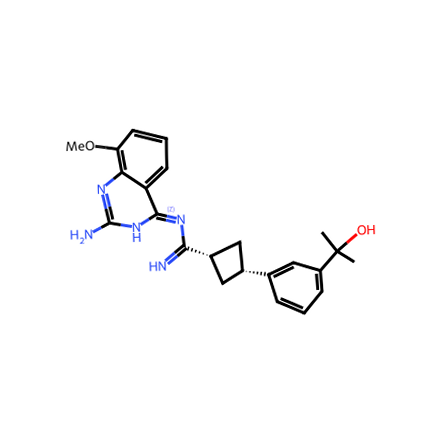 COc1cccc2/c(=N/C(=N)[C@H]3C[C@@H](c4cccc(C(C)(C)O)c4)C3)[nH]c(N)nc12